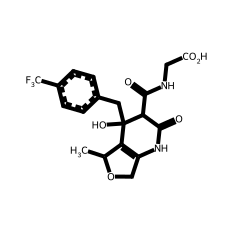 CC1OCC2=C1C(O)(Cc1ccc(C(F)(F)F)cc1)C(C(=O)NCC(=O)O)C(=O)N2